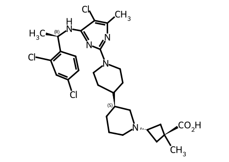 Cc1nc(N2CCC([C@@H]3CCCN([C@H]4C[C@](C)(C(=O)O)C4)C3)CC2)nc(N[C@H](C)c2ccc(Cl)cc2Cl)c1Cl